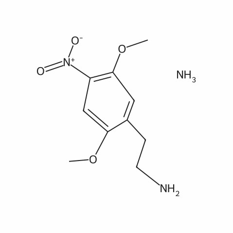 COc1cc([N+](=O)[O-])c(OC)cc1CCN.N